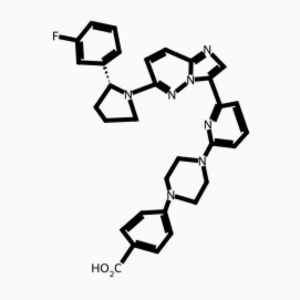 O=C(O)c1ccc(N2CCN(c3cccc(-c4cnc5ccc(N6CCC[C@@H]6c6cccc(F)c6)nn45)n3)CC2)cc1